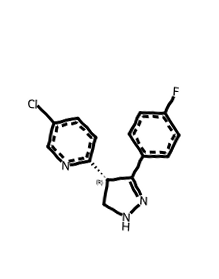 Fc1ccc(C2=NNC[C@@H]2c2ccc(Cl)cn2)cc1